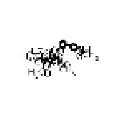 CC(=O)Nc1ccc(-c2cccc3c2CN([C@@H](COC(C)=O)C(=O)N[C@@H](COC(C)=O)C(=O)OC(C(C)C)C(C)C)C3=O)cc1